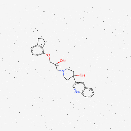 O[C@H](COc1cccc2c1CCC2)CN1CCC(O)(c2cnc3ccccc3c2)CC1